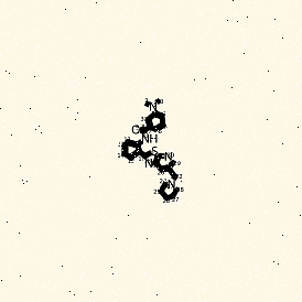 CN(C)c1cccc(C(=O)Nc2ccccc2-c2nc3cc(CN4CCCCC4)cnc3s2)c1